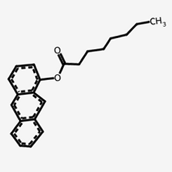 CCCCCCCC(=O)Oc1cccc2cc3ccccc3cc12